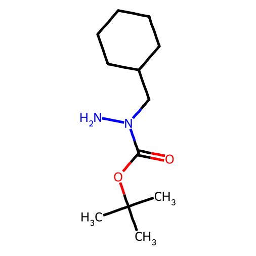 CC(C)(C)OC(=O)N(N)CC1CCCCC1